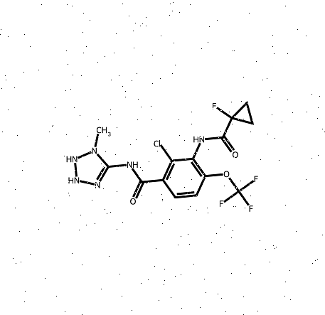 CN1NNN=C1NC(=O)c1ccc(OC(F)(F)F)c(NC(=O)C2(F)CC2)c1Cl